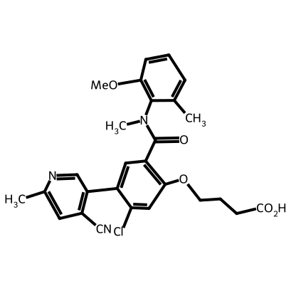 COc1cccc(C)c1N(C)C(=O)c1cc(-c2cnc(C)cc2C#N)c(Cl)cc1OCCCC(=O)O